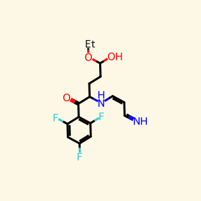 CCOC(O)CCC(N/C=C\C=N)C(=O)c1c(F)cc(F)cc1F